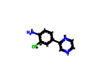 Nc1ccc(-c2cnccn2)cc1Cl